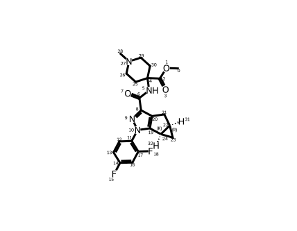 COC(=O)C1(NC(=O)c2nn(-c3ccc(F)cc3F)c3c2C[C@H]2C[C@@H]32)CCN(C)CC1